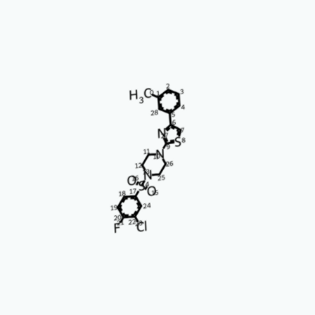 Cc1cccc(-c2csc(N3CCN(S(=O)(=O)c4ccc(F)c(Cl)c4)CC3)n2)c1